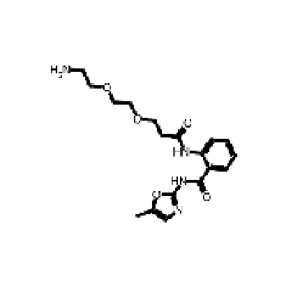 Cc1cnc(NC(=O)c2ccccc2NC(=O)CCOCCOCCN)o1